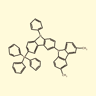 Cc1ccc2c(c1)c1cc(C)ccc1n2-c1ccc2c(c1)c1cc([Si](c3ccccc3)(c3ccccc3)c3ccccc3)ccc1n2-c1ccccc1